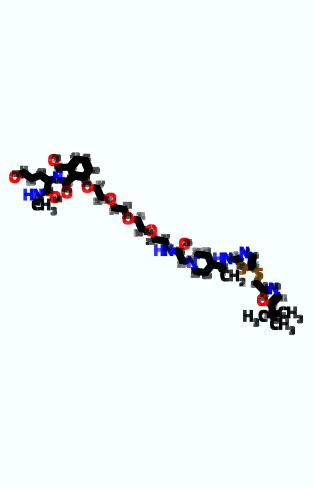 C=C(Nc1ncc(SCc2ncc(C(C)(C)C)o2)s1)C1CCN(CC(=O)NCCOCCOCCOCCOc2cccc3c2C(=O)N(C(CCC=O)C(=O)NC)C3=O)CC1